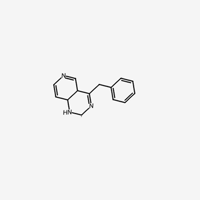 [CH]1N=C(Cc2ccccc2)C2C=NC=CC2N1